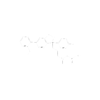 CN(CCCC1(c2ccc(Cl)cc2)OCc2cc(-c3ccccc3CF)ccc21)CC(=O)O